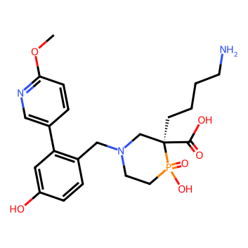 COc1ccc(-c2cc(O)ccc2CN2CCP(=O)(O)[C@](CCCCN)(C(=O)O)C2)cn1